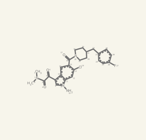 CN(C)C(=O)C(=O)c1cn(N)c2cc(Cl)c(C(=O)N3CCC(Cc4ccc(F)cc4)CC3)cc12